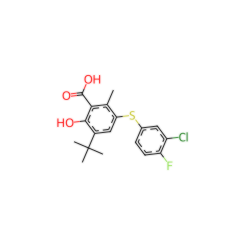 Cc1c(Sc2ccc(F)c(Cl)c2)cc(C(C)(C)C)c(O)c1C(=O)O